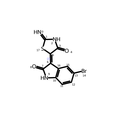 N=C1NC(=O)/C(=C2/C(=O)Nc3ccc(Br)cc32)S1